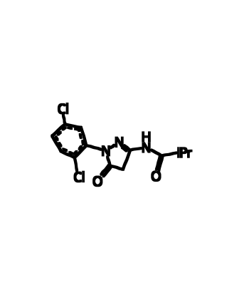 CC(C)C(=O)NC1=NN(c2cc(Cl)ccc2Cl)C(=O)C1